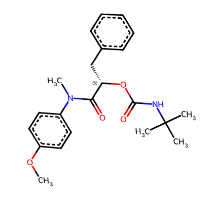 COc1ccc(N(C)C(=O)[C@H](Cc2ccccc2)OC(=O)NC(C)(C)C)cc1